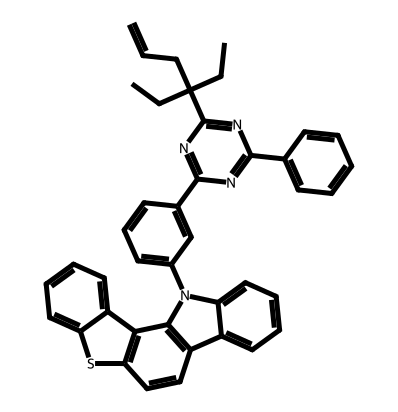 C=CCC(CC)(CC)c1nc(-c2ccccc2)nc(-c2cccc(-n3c4ccccc4c4ccc5sc6ccccc6c5c43)c2)n1